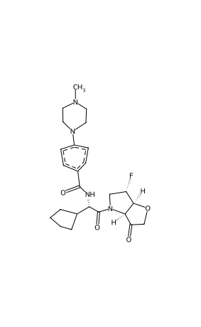 CN1CCN(c2ccc(C(=O)N[C@H](C(=O)N3C[C@H](F)[C@H]4OCC(=O)[C@H]43)C3CCCC3)cc2)CC1